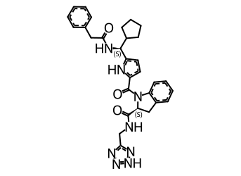 O=C(Cc1ccccc1)N[C@H](c1ccc(C(=O)N2c3ccccc3C[C@H]2C(=O)NCc2nn[nH]n2)[nH]1)C1CCCC1